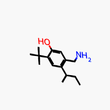 CCC(C)c1cc(C(C)(C)C)c(O)cc1CN